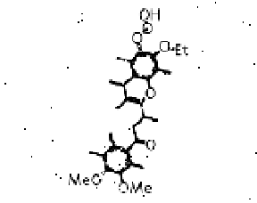 CCOc1c(C)c2c(c(C)c1OOO)C(C)C(C)=C(C(C)CC(=O)c1c(C)c(C)c(OC)c(OC)c1C)O2